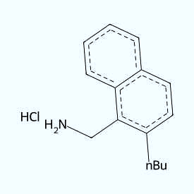 CCCCc1ccc2ccccc2c1CN.Cl